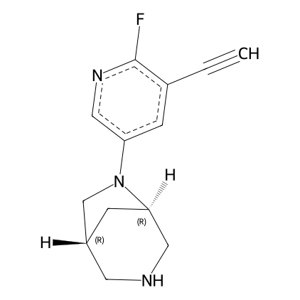 C#Cc1cc(N2C[C@H]3CNC[C@H]2C3)cnc1F